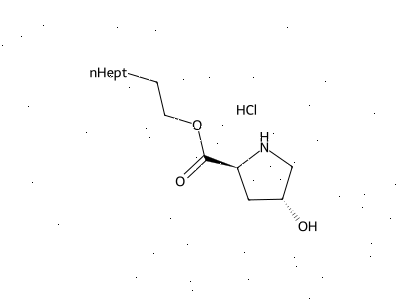 CCCCCCCCCOC(=O)[C@@H]1C[C@@H](O)CN1.Cl